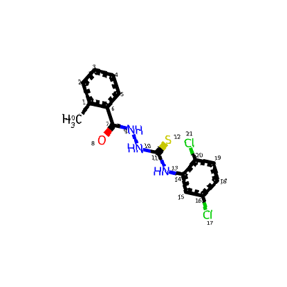 Cc1ccccc1C(=O)NNC(=S)Nc1cc(Cl)ccc1Cl